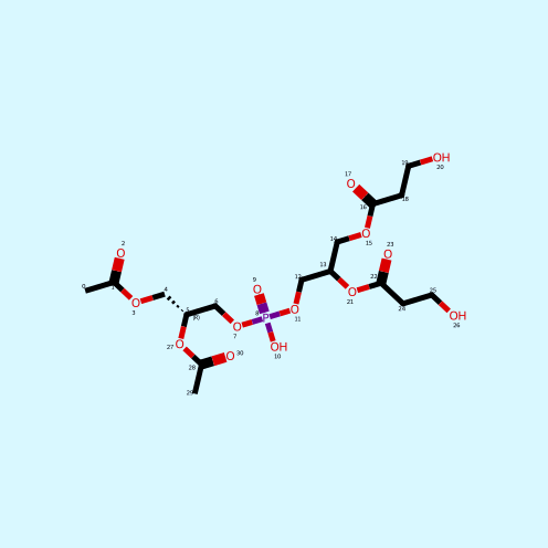 CC(=O)OC[C@H](COP(=O)(O)OCC(COC(=O)CCO)OC(=O)CCO)OC(C)=O